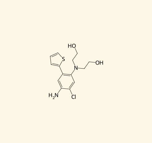 Nc1cc(-c2cccs2)c(N(CCO)CCO)cc1Cl